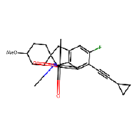 COC1CCC2(CC1)Cc1cc(F)c(C#CC3CC3)cc1C21NC(=O)N(C)C1=O